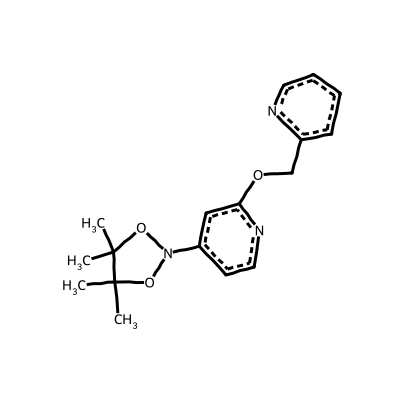 CC1(C)ON(c2ccnc(OCc3ccccn3)c2)OC1(C)C